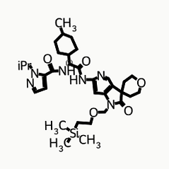 CC1CCC([C@H](NC(=O)c2ccnn2C(C)C)C(=O)Nc2cc3c(cn2)C2(CCOCC2)C(=O)N3COCC[Si](C)(C)C)CC1